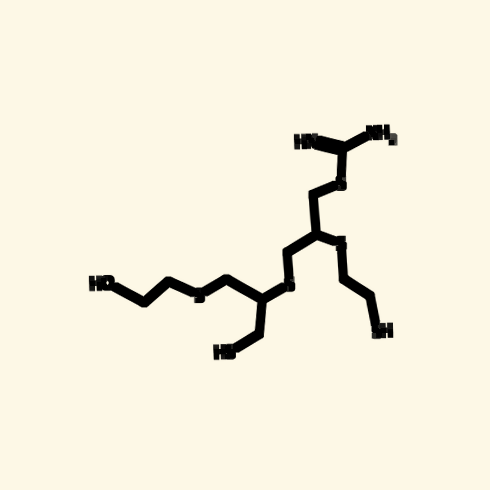 N=C(N)SCC(CSC(CS)CSCCO)SCCS